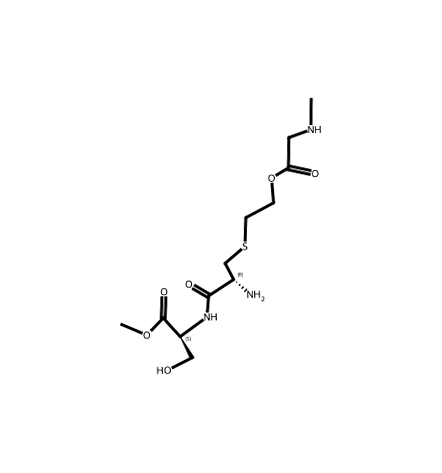 CNCC(=O)OCCSC[C@H](N)C(=O)N[C@@H](CO)C(=O)OC